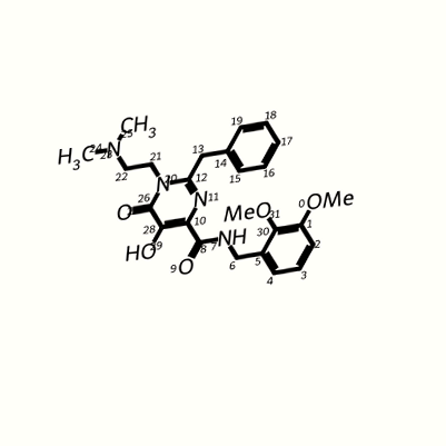 COc1cccc(CNC(=O)c2nc(Cc3ccccc3)n(CCN(C)C)c(=O)c2O)c1OC